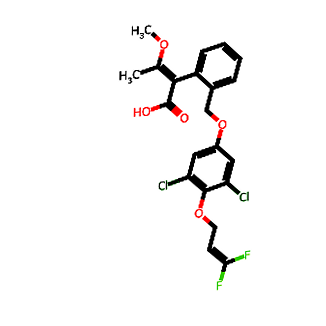 COC(C)=C(C(=O)O)c1ccccc1COc1cc(Cl)c(OCC=C(F)F)c(Cl)c1